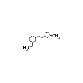 C=Cc1cccc(CCC2CCN(C)C2)c1